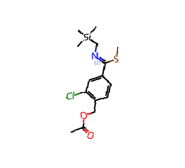 CS/C(=N\C[Si](C)(C)C)c1ccc(COC(C)=O)c(Cl)c1